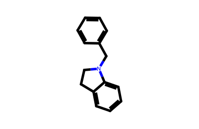 [c]1ccccc1CN1CCc2ccccc21